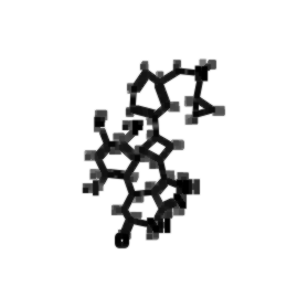 CN(Cc1cccc(C2CC(c3[nH]nc4c3C(c3cc(F)c(F)cc3F)CC(=O)N4)C2)c1)C1CC1